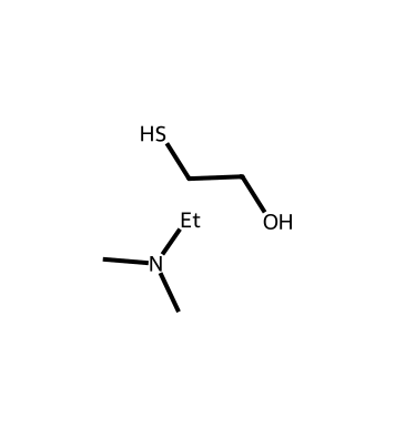 CCN(C)C.OCCS